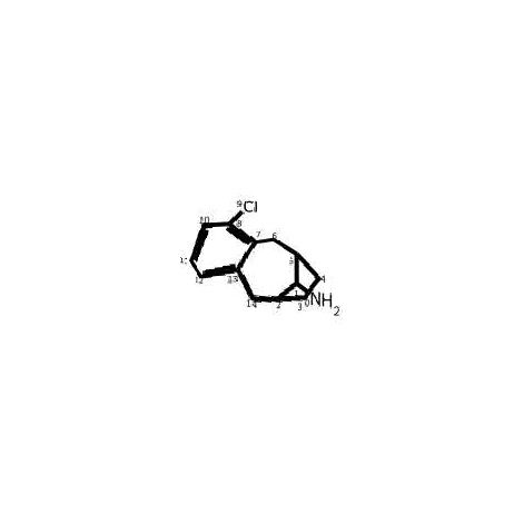 NC1C2CCC1Cc1c(Cl)cccc1C2